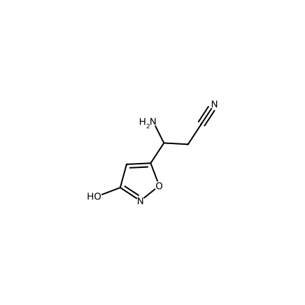 N#CCC(N)c1cc(O)no1